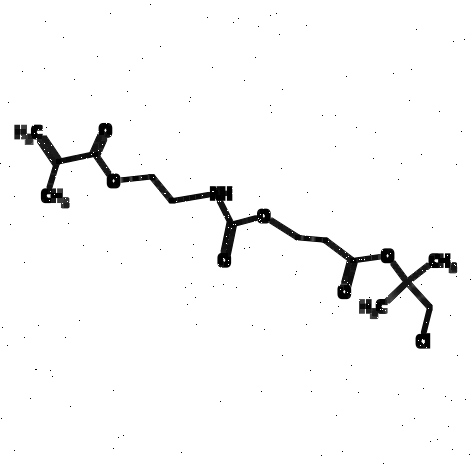 C=C(C)C(=O)OCCNC(=O)OCCC(=O)OC(C)(C)CCl